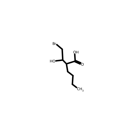 CCCCC(C(=O)O)C(O)CBr